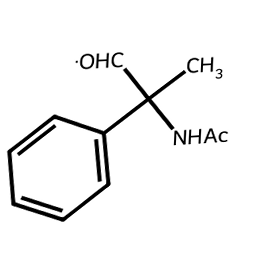 CC(=O)NC(C)([C]=O)c1ccccc1